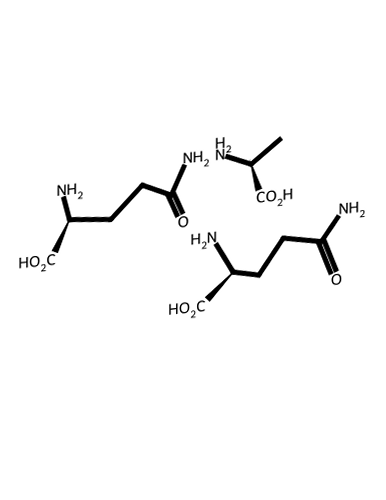 C[C@H](N)C(=O)O.NC(=O)CC[C@H](N)C(=O)O.NC(=O)CC[C@H](N)C(=O)O